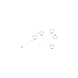 C=CCOCCCCc1ccc(Cc2cc([C@@H]3O[C@H](C(C)(C)O)[C@@H](OCc4ccccc4)[C@H](OCc4ccccc4)[C@H]3OCc3ccccc3)ccc2C)cc1